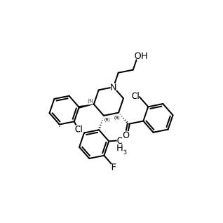 Cc1c(F)cccc1[C@H]1[C@@H](C(=O)c2ccccc2Cl)CN(CCO)C[C@@H]1c1ccc[c]c1Cl